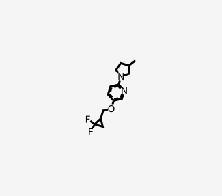 CC1CCN(c2ccc(OCC3CC3(F)F)cn2)C1